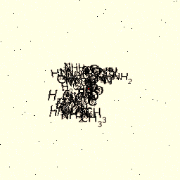 CO[C@@H]1[C@H](O)[C@@H](COP(=O)([O-])[C@H]2[C@@H](OC)[C@H](n3cnc4c(N)ncnc43)O[C@@H]2COP(=O)(O)OP(=O)(O)OP(=O)(O)OC[C@H]2OC(n3c[n+](C)c4c(=O)[nH]c(N)nc43)[C@H](O)[C@@H]2CC(=O)N(C)C)O[C@H]1n1cnc2c(=O)[nH]c(N)nc21